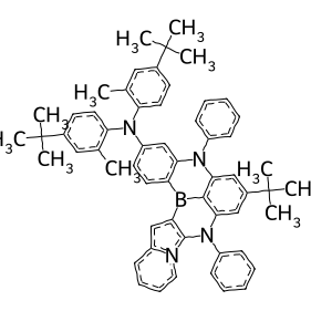 Cc1cc(C(C)(C)C)ccc1N(c1ccc2c(c1)N(c1ccccc1)c1cc(C(C)(C)C)cc3c1B2c1cc2ccccn2c1N3c1ccccc1)c1ccc(C(C)(C)C)cc1C